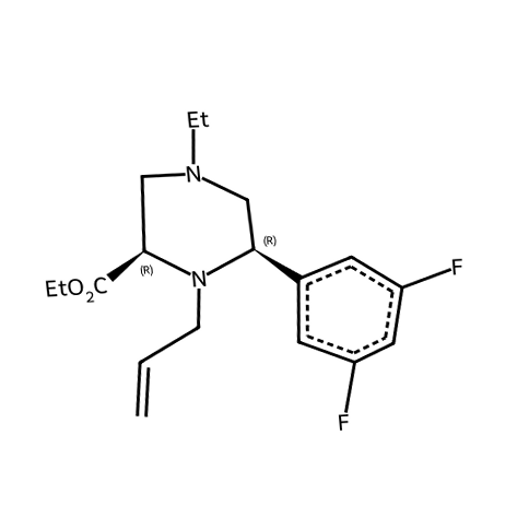 C=CCN1[C@@H](C(=O)OCC)CN(CC)C[C@H]1c1cc(F)cc(F)c1